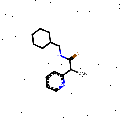 COC(C(=S)NCC1CCCCC1)c1ccccn1